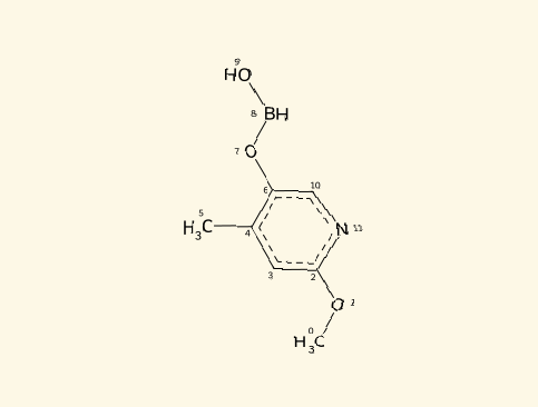 COc1cc(C)c(OBO)cn1